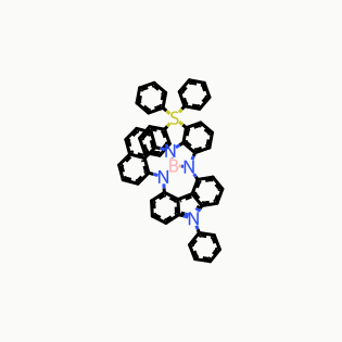 c1ccc(-n2c3cccc4c3c3c(cccc32)N2B3N(c5c(cccc5S(c5ccccc5)(c5ccccc5)c5ccccc5)N34)c3cccc4cccc2c34)cc1